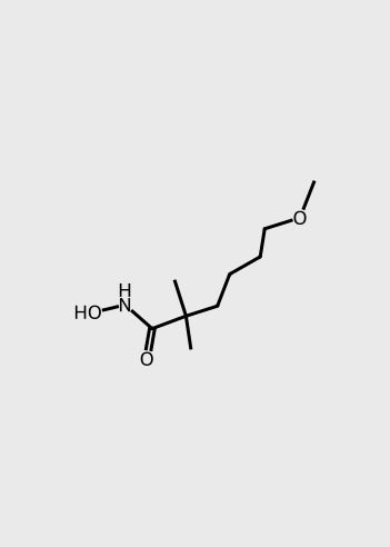 COCCCCC(C)(C)C(=O)NO